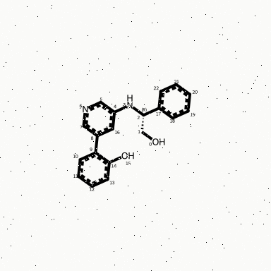 OC[C@H](Nc1cncc(-c2ccccc2O)c1)c1ccccc1